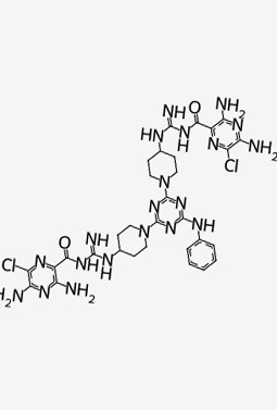 N=C(NC(=O)c1nc(Cl)c(N)nc1N)NC1CCN(c2nc(Nc3ccccc3)nc(N3CCC(NC(=N)NC(=O)c4nc(Cl)c(N)nc4N)CC3)n2)CC1